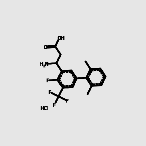 Cc1cccc(C)c1-c1cc(C(N)CC(=O)O)c(F)c(C(F)(F)F)c1.Cl